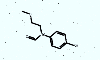 COCCN(C=O)c1ccc(S)cc1